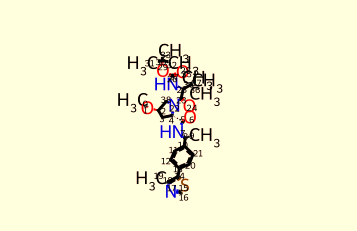 CO[C@@H]1C[C@@H](C(=O)N[C@@H](C)c2ccc(-c3scnc3C)cc2)N(C(=O)[C@@H](NC(=O)OC(C)(C)C)C(C)(C)C)C1